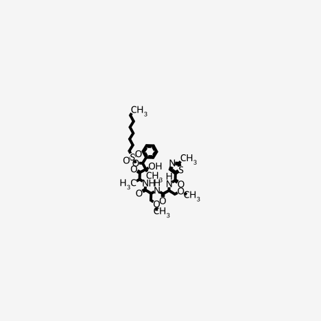 CCCCCCCCS(=O)(=O)OC(c1ccccc1)C(C)(O)C(=O)C(C)NC(=O)C(COC)NC(=O)C(COC)NC(=O)c1cnc(C)s1